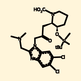 CN(C)Cc1nc2cc(Cl)c(Cl)cc2n1CC(=O)C[C@@H]1[C@@H](O[Si](C)(C)C(C)(C)C)CCCN1C(=O)O